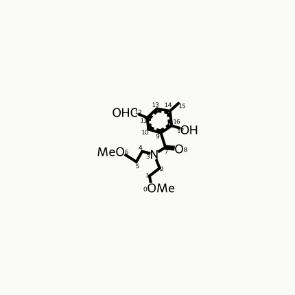 COCCN(CCOC)C(=O)c1cc(C=O)cc(C)c1O